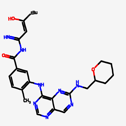 Cc1ccc(C(=O)NC(=N)/C=C(\O)C(C)(C)C)cc1Nc1ncnc2cnc(NCC3CCCCO3)nc12